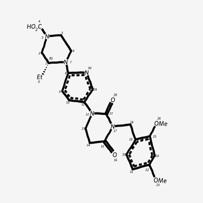 CC[C@@H]1CN(C(=O)O)CCN1c1ccc(N2CCC(=O)N(Cc3ccc(OC)cc3OC)C2=O)cn1